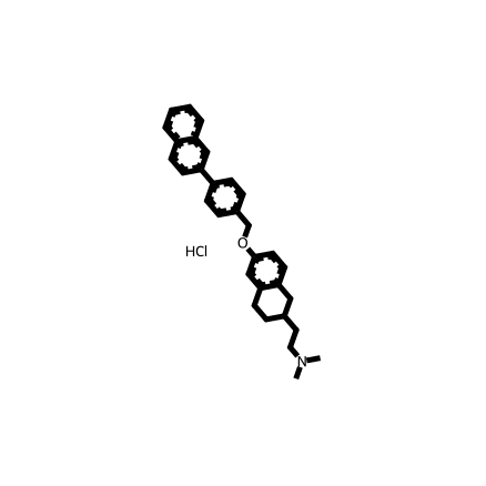 CN(C)CCC1CCc2cc(OCc3ccc(-c4ccc5ccccc5c4)cc3)ccc2C1.Cl